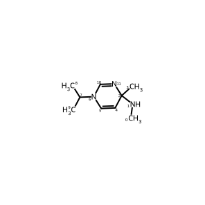 CNC1(C)C=CN(C(C)C)C=N1